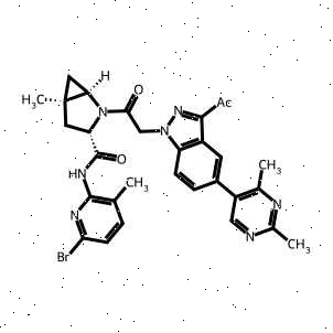 CC(=O)c1nn(CC(=O)N2[C@H](C(=O)Nc3nc(Br)ccc3C)C[C@@]3(C)C[C@@H]23)c2ccc(-c3cnc(C)nc3C)cc12